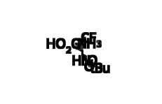 CC(C)(C)OC(=O)NCCCC[C@H](NCC(F)(F)F)C(=O)O